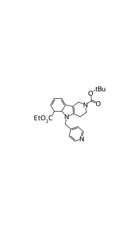 CCOC(=O)C1C=CC=C2C3=C(CCN(C(=O)OC(C)(C)C)C3)N(Cc3ccncc3)C21